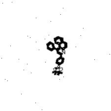 CC1(C)OB(c2ccc(-c3cc(-c4ccccc4)c4c(ccc5ccccc54)n3)cc2)OC1(C)C